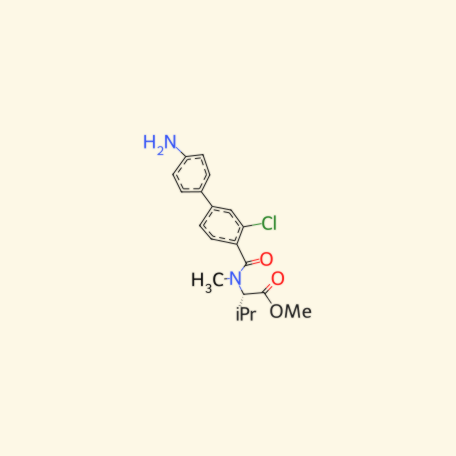 COC(=O)[C@H](C(C)C)N(C)C(=O)c1ccc(-c2ccc(N)cc2)cc1Cl